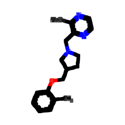 COc1nccnc1CN1CCC(COc2ccccc2C)C1